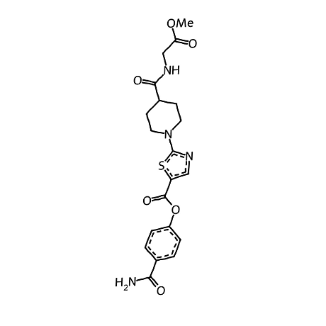 COC(=O)CNC(=O)C1CCN(c2ncc(C(=O)Oc3ccc(C(N)=O)cc3)s2)CC1